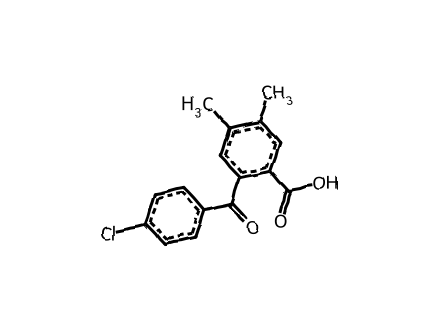 Cc1cc(C(=O)O)c(C(=O)c2ccc(Cl)cc2)cc1C